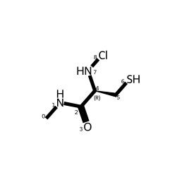 CNC(=O)[C@H](CS)NCl